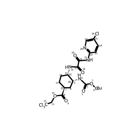 CC(C)(C)OC(=O)N[C@@H]1C[C@@H](C(=O)OCC(Cl)(Cl)Cl)CC[C@@H]1NC(=O)C(=O)Nc1ccc(Cl)cn1